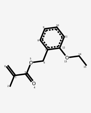 C=C(C)C(=O)OCc1ccccc1OCC